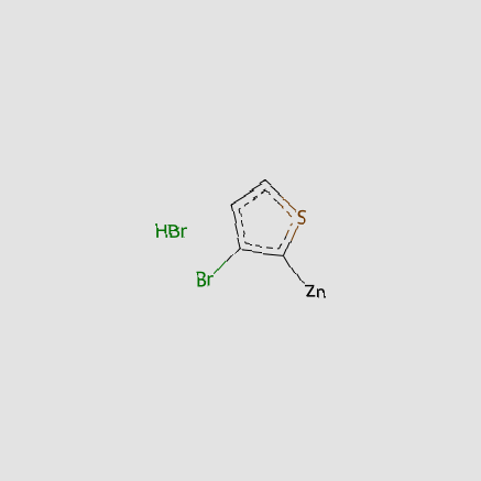 Br.[Zn][c]1sccc1Br